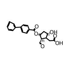 O=C[C@@H]1C(CC(=O)O)[C@@H](O)C[C@H]1OC(=O)c1ccc(-c2ccccc2)cc1